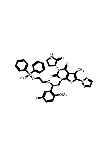 COc1ccc(F)cc1[C@H](Cn1c(=O)n([C@@H]2CCNC2=O)c(=O)c2c(C)c(-n3nccn3)sc21)OCCO[Si](c1ccccc1)(c1ccccc1)C(C)(C)C